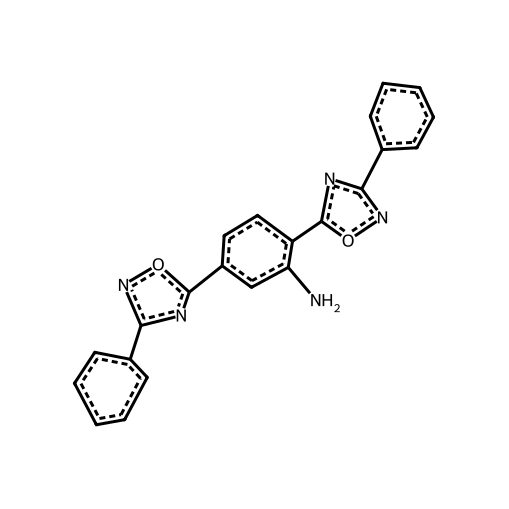 Nc1cc(-c2nc(-c3ccccc3)no2)ccc1-c1nc(-c2ccccc2)no1